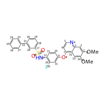 COc1cc2nccc(Oc3ccc(NS(=O)(=O)c4cccc(-c5ccccc5)c4)c(F)c3)c2cc1OC